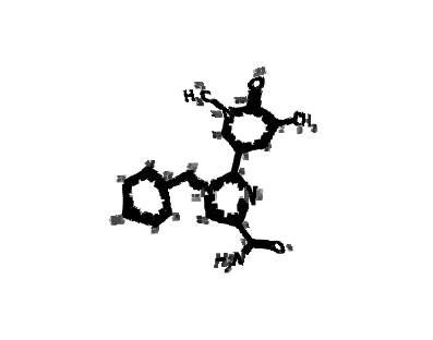 Cc1cc(-c2nc(C(N)=O)cn2Cc2ccccc2)cn(C)c1=O